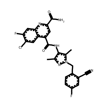 Cc1nn(Cc2ccc(F)cc2C#N)c(C)c1NC(=O)c1cc(C(N)=O)nc2cc(F)c(Cl)cc12